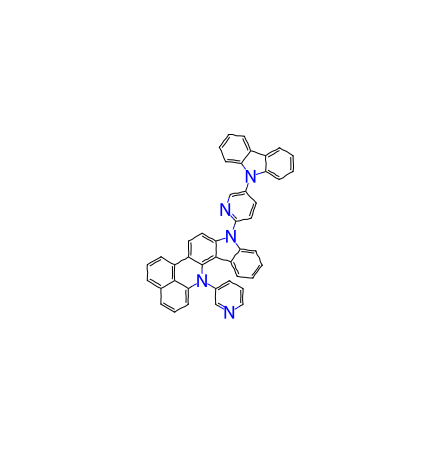 c1cncc(N2c3cccc4cccc(c34)-c3ccc4c(c32)c2ccccc2n4-c2ccc(-n3c4ccccc4c4ccccc43)cn2)c1